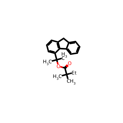 CCC(C)(C)C(=O)OC(C)(C)c1cccc2c1-c1ccccc1C2